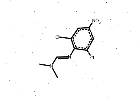 CN(C)C=Nc1c(Cl)cc([N+](=O)[O-])cc1Cl